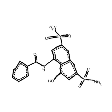 NS(=O)(=O)c1cc(O)c2c(NC(=O)c3ccccc3)cc(S(N)(=O)=O)cc2c1